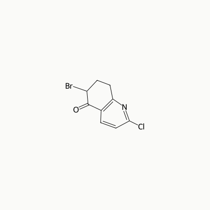 O=C1c2ccc(Cl)nc2CCC1Br